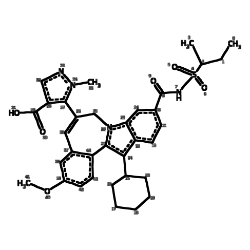 CCC(C)S(=O)(=O)NC(=O)c1ccc2c(C3CCCCC3)c3n(c2c1)CC(c1c(C(=O)O)cnn1C)=Cc1cc(OC)ccc1-3